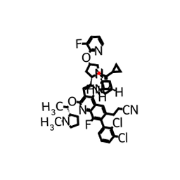 CC(Oc1nc2c(F)c(-c3cccc(Cl)c3Cl)c(CCC#N)cc2c2c1cc([C@H]1C[C@H](Oc3ncccc3F)CN1C(=O)C1CC1)n2[C@H]1[C@H]2CN[C@@H]1C2)[C@@H]1CCCN1C